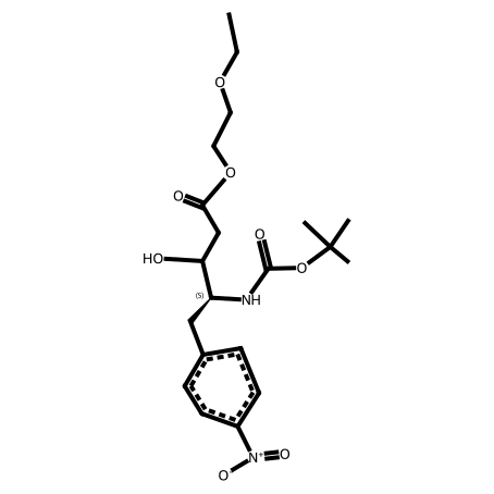 CCOCCOC(=O)CC(O)[C@H](Cc1ccc([N+](=O)[O-])cc1)NC(=O)OC(C)(C)C